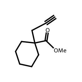 C#CCC1(C(=O)OC)CCCCC1